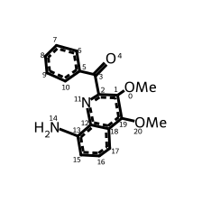 COc1c(C(=O)c2ccccc2)nc2c(N)cccc2c1OC